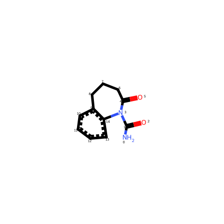 NC(=O)N1C(=O)[C]CCc2ccccc21